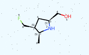 C[C@@H]1N[C@H](CO)C[C@@H]1CF